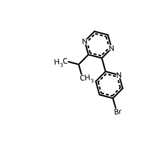 CC(C)c1nccnc1-c1ccc(Br)cn1